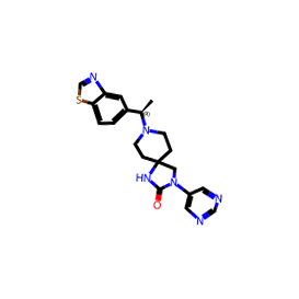 C[C@H](c1ccc2scnc2c1)N1CCC2(CC1)CN(c1cncnc1)C(=O)N2